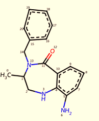 CC1CNc2c(N)cccc2C(=O)N1Cc1ccccc1